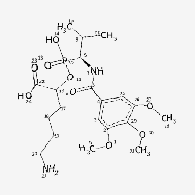 COc1cc(C(=O)N[C@H](C(C)C)P(=O)(O)OC(CCCCN)C(=O)O)cc(OC)c1OC